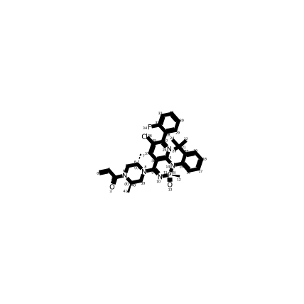 C=CC(=O)N1C[C@H](C)N(C2=N[P@@](C)(=O)N(c3ccccc3C(C)(C)C)c3nc(-c4ccccc4F)c(Cl)cc32)C[C@H]1C